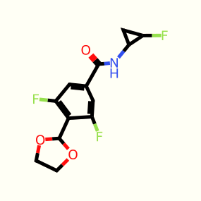 O=C(NC1CC1F)c1cc(F)c(C2OCCO2)c(F)c1